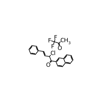 CC(=O)C(F)(F)F.O=C(c1ccc2ccccc2c1)C(Cl)C=Cc1ccccc1